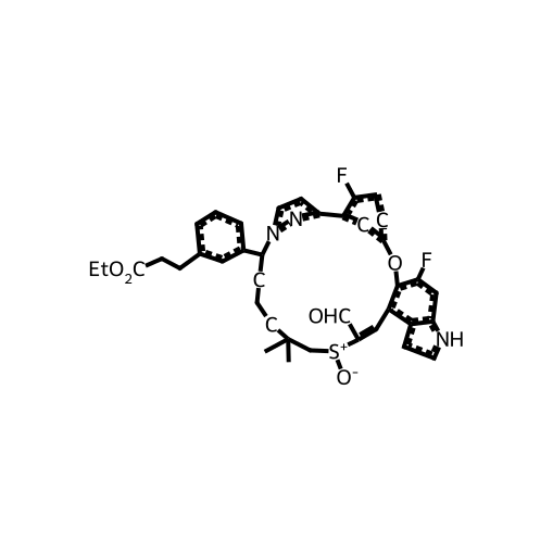 CCOC(=O)CCc1cccc(C2CCCC(C)(C)C[S+]([O-])/C(C=O)=C/c3c(c(F)cc4[nH]ccc34)Oc3ccc(F)c(c3)-c3ccn2n3)c1